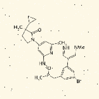 CN/C=C(\C=N)c1cc(Br)cc(CP(C)ONc2cc(N3CC[C@@](C)(C4CC4)C3=O)cc(C)n2)c1